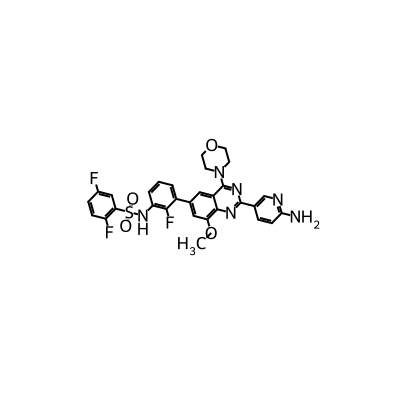 COc1cc(-c2cccc(NS(=O)(=O)c3cc(F)ccc3F)c2F)cc2c(N3CCOCC3)nc(-c3ccc(N)nc3)nc12